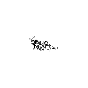 CC#Cc1ccc(-c2ccc(N(C)[C@@H]3CC4CCC(N4)[C@@H]3F)nn2)c(O)c1